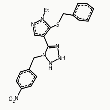 CCn1ncc(C2=NNNN2Cc2ccc([N+](=O)[O-])cc2)c1SCc1ccccc1